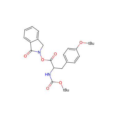 CC(C)(C)OC(=O)NC(Cc1ccc(OC(C)(C)C)cc1)C(=O)ON1Cc2ccccc2C1=O